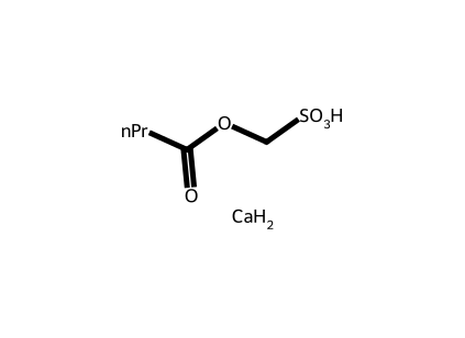 CCCC(=O)OCS(=O)(=O)O.[CaH2]